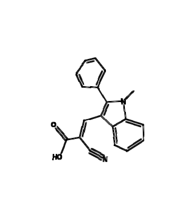 Cn1c(-c2ccccc2)c(/C=C(\C#N)C(=O)O)c2ccccc21